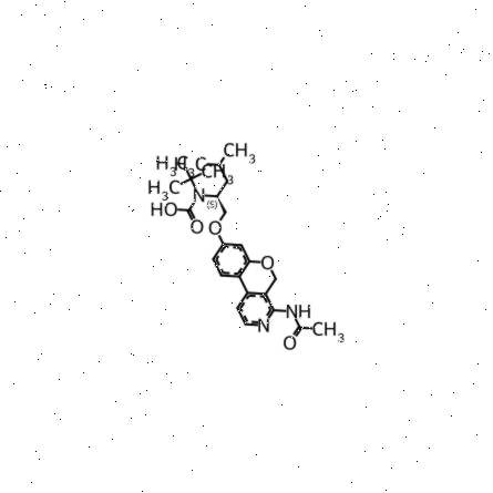 CC(=O)Nc1nccc2c1COc1cc(OC[C@H](CC(C)C)N(C(=O)O)C(C)(C)C)ccc1-2